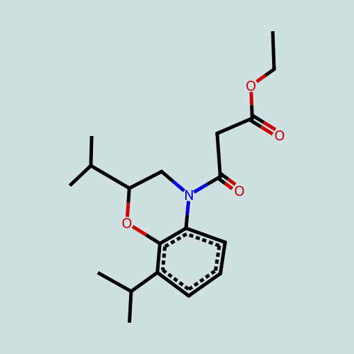 CCOC(=O)CC(=O)N1CC(C(C)C)Oc2c(C(C)C)cccc21